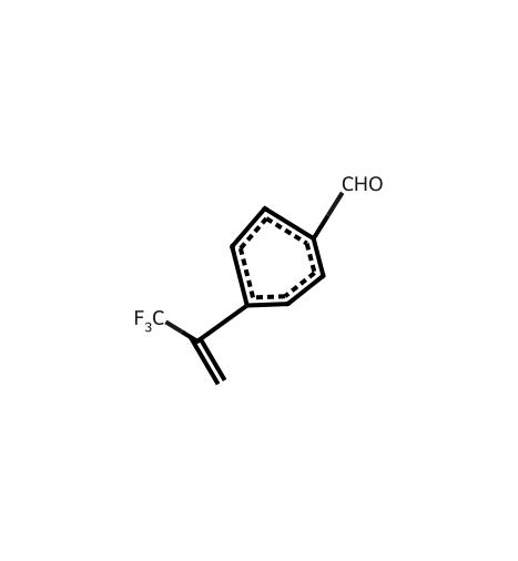 C=C(c1ccc(C=O)cc1)C(F)(F)F